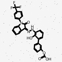 O=C(O)Oc1cccc(-c2cccc(NN=C3C(=O)N(c4ccc(C(F)(F)F)cc4)c4ccccc43)c2O)c1